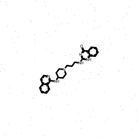 O=c1nc(NCCCN2CCC(Nc3nccc4ccccc34)CC2)[nH]c2ccccc12